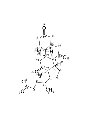 C[C@H](CCC(=O)Cl)[C@H]1CC[C@H]2[C@@H]3C(=O)CC4CC(=O)CC[C@]4(C)[C@H]3CC(=O)[C@]12C